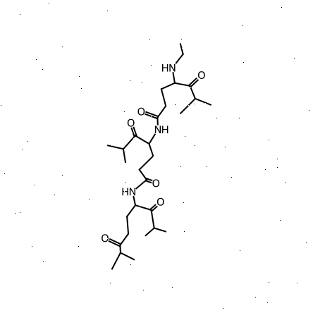 CCNC(CCC(=O)NC(CCC(=O)NC(CCC(=O)C(C)C)C(=O)C(C)C)C(=O)C(C)C)C(=O)C(C)C